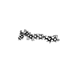 CCc1cc(Nc2ncc(Br)c(Nc3ccc4nccnc4c3P(C)(C)=O)n2)c(OC)cc1N1CCC(N2CCN(CCc3cc(F)c(C4CCC(=O)NC4=O)cn3)CC2)CC1